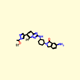 CCOC(C)n1cc(-c2ccc3nc(N[C@@H]4CCC[C@H](N5Cc6ccc(N)cc6C5=O)C4)nn3c2C(C)C)cn1